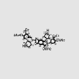 CCOc1cc(CN(c2nc3cc(N(Cc4ccc(OC)c(OCC)c4)C4CCNCC4)c(C(=O)OC)cc3o2)C2CCNCC2)ccc1OC